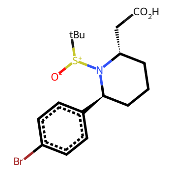 CC(C)(C)[S+]([O-])N1[C@H](CC(=O)O)CCC[C@H]1c1ccc(Br)cc1